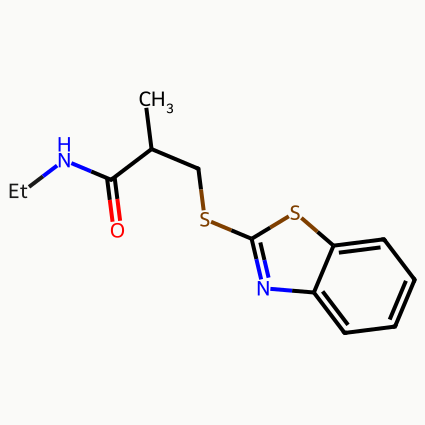 CCNC(=O)C(C)CSc1nc2ccccc2s1